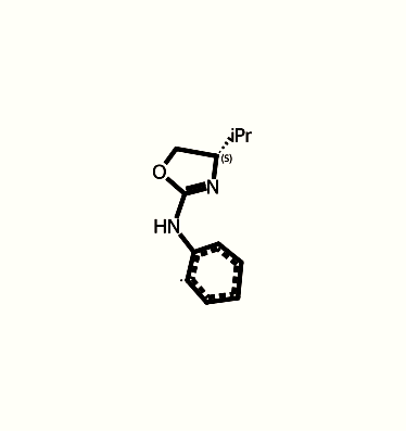 CC(C)[C@H]1COC(Nc2[c]cccc2)=N1